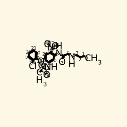 CCCCNCC(=O)Nc1cc(NS(C)(=O)=O)c(Oc2ccccc2Cl)cc1[N+](=O)[O-]